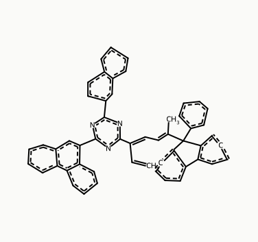 C=C/C(=C\C=C(/C)C1(c2ccccc2)c2ccccc2-c2ccccc21)c1nc(-c2ccc3ccccc3c2)nc(-c2cc3ccccc3c3ccccc23)n1